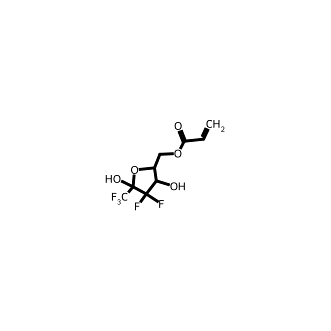 C=CC(=O)OCC1OC(O)(C(F)(F)F)C(F)(F)C1O